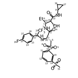 CC[C@H](NC(=O)[C@H](CS(=O)(=O)c1cccc(S(C)(=O)=O)c1)N[C@@H](c1ccc(F)cc1)C(F)(F)F)C(O)C(=O)NC1CC1